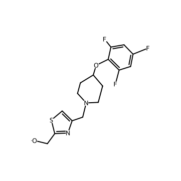 [O]Cc1nc(CN2CCC(Oc3c(F)cc(F)cc3F)CC2)cs1